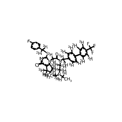 [2H]c1c([2H])c(C(F)(F)F)c([2H])c([2H])c1-c1c([2H])c([2H])c(C([2H])([2H])N(C(=O)C([2H])([2H])n2c(SC([2H])([2H])c3ccc(F)cc3)nc(=O)c3c2C([2H])([2H])C([2H])(C)C3([2H])[2H])C([2H])([2H])C([2H])([2H])N(C([2H])([2H])C)C([2H])([2H])C)c([2H])c1[2H]